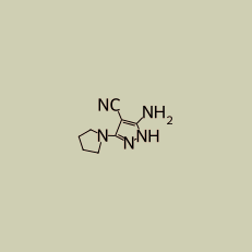 N#Cc1c(N2CCCC2)n[nH]c1N